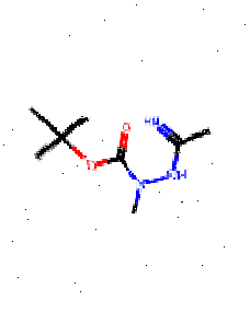 CC(=N)NN(C)C(=O)OC(C)(C)C